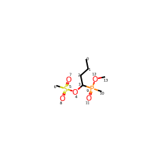 CCCC(OS(C)(=O)=O)P(C)(=O)OC